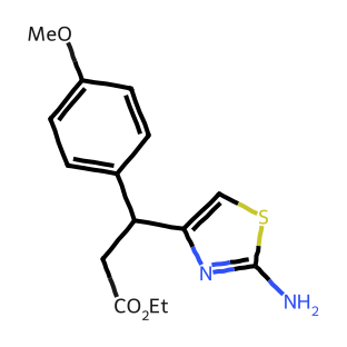 CCOC(=O)CC(c1ccc(OC)cc1)c1csc(N)n1